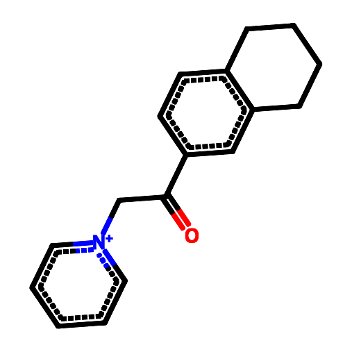 O=C(C[n+]1ccccc1)c1ccc2c(c1)CCCC2